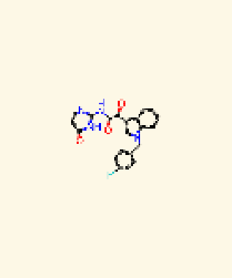 O=C(Nc1nccc(=O)[nH]1)C(=O)c1cn(Cc2ccc(F)cc2)c2ccccc12